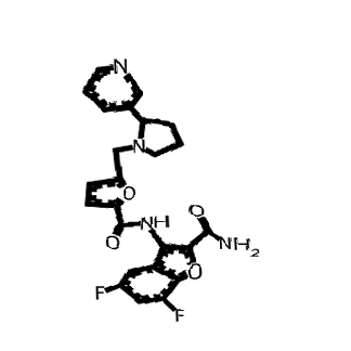 NC(=O)c1oc2c(F)cc(F)cc2c1NC(=O)c1ccc(CN2CCCC2c2cccnc2)o1